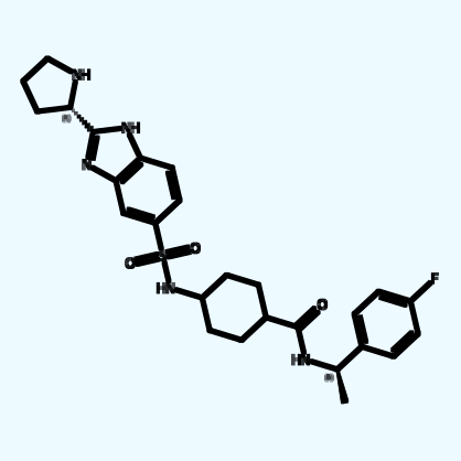 C[C@@H](NC(=O)C1CCC(NS(=O)(=O)c2ccc3[nH]c([C@@H]4CCCN4)nc3c2)CC1)c1ccc(F)cc1